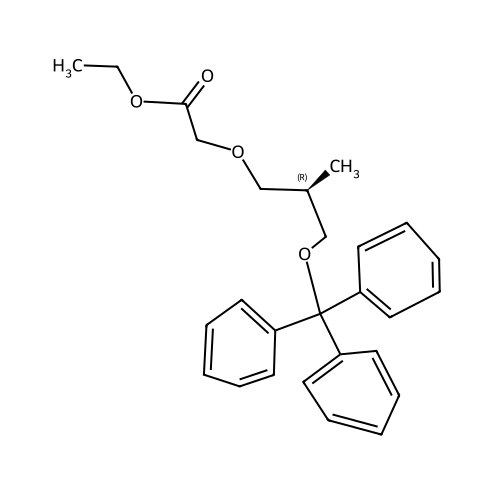 CCOC(=O)COC[C@@H](C)COC(c1ccccc1)(c1ccccc1)c1ccccc1